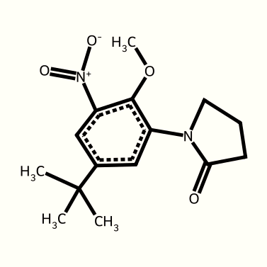 COc1c(N2CCCC2=O)cc(C(C)(C)C)cc1[N+](=O)[O-]